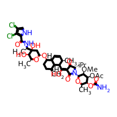 C=C1CC[C@@H](O[C@H]2C[C@@](O)([C@H](C)NC(=O)c3[nH]cc(Cl)c3Cl)[C@H](O)[C@@H](C)O2)[C@@H]2C=C[C@H](C)C(/C(O)=C3\C(=O)[C@H](C(C)C)N([C@H]4O[C@H](C)[C@H](OC(N)=O)[C@H](OC(C)=O)[C@@H]4OC)C3=O)[C@@H]12